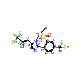 CCS(=O)(=O)c1cc(C(F)(F)F)ccc1-c1ncc(/C=C(\Cl)C(F)(F)F)n1C